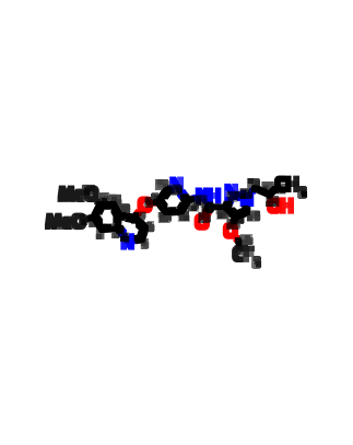 COc1cc2nccc(Oc3ccc(NC(=O)c4nn(CC(C)O)cc4OCC(F)(F)F)nc3)c2cc1OC